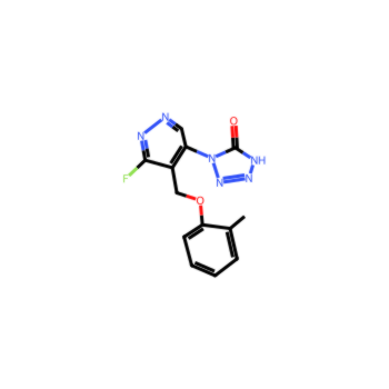 Cc1ccccc1OCc1c(-n2nn[nH]c2=O)cnnc1F